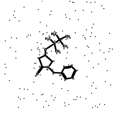 CC(C)(C)[Si](C)(C)O[C@@H]1CC(=O)N(Cc2ccccc2)C1